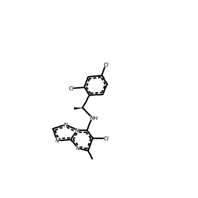 Cc1nc2ncnn2c(N[C@@H](C)c2ccc(Cl)cc2Cl)c1Cl